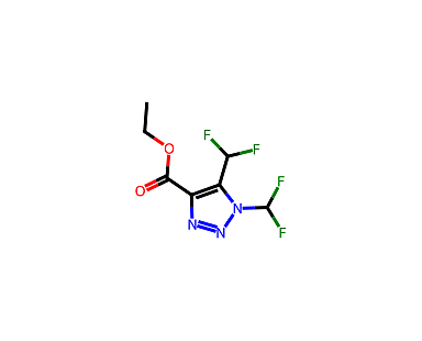 CCOC(=O)c1nnn(C(F)F)c1C(F)F